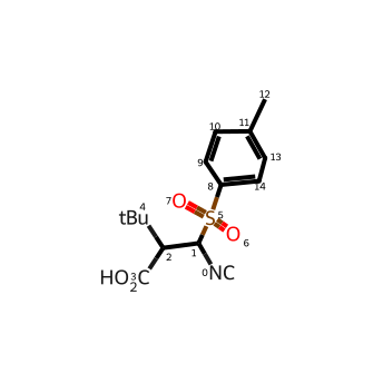 [C-]#[N+]C(C(C(=O)O)C(C)(C)C)S(=O)(=O)c1ccc(C)cc1